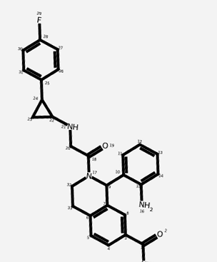 NC(=O)c1ccc2c(c1)C(c1ccccc1N)N(C(=O)CNC1CC1c1ccc(F)cc1)CC2